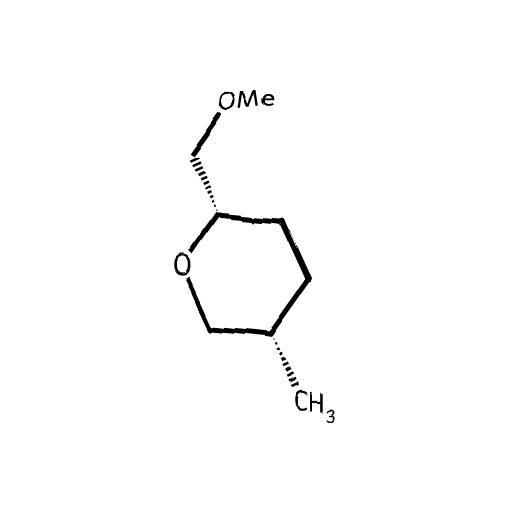 COC[C@@H]1CC[C@H](C)CO1